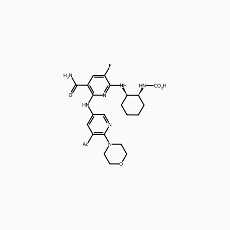 CC(=O)c1cc(Nc2nc(N[C@@H]3CCCC[C@@H]3NC(=O)O)c(F)cc2C(N)=O)cnc1N1CCOCC1